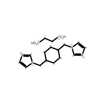 O=C(O)CCC(=O)O.c1cn(CC2CCC(Cn3ccnc3)CC2)cn1